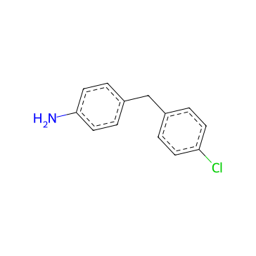 Nc1ccc(Cc2ccc(Cl)cc2)cc1